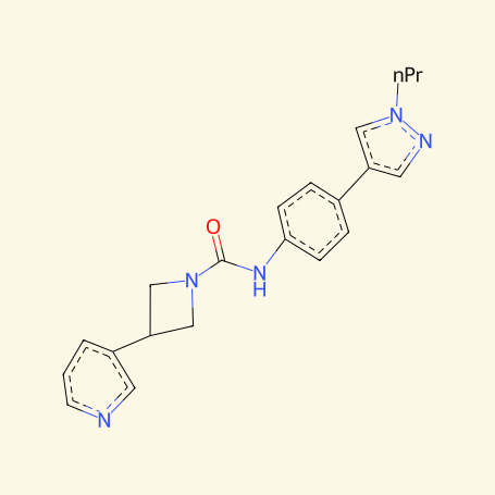 CCCn1cc(-c2ccc(NC(=O)N3CC(c4cccnc4)C3)cc2)cn1